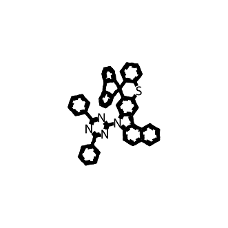 c1ccc(-c2nc(-c3ccccc3)nc(-n3c4cc5c(cc4c4c6ccccc6ccc43)Sc3ccccc3C53c4ccccc4-c4ccccc43)n2)cc1